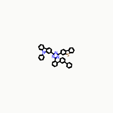 c1ccc(-c2cccc(-c3ccccc3-c3nc(-c4ccc5c(c4)sc4ccccc45)nc(-c4ccc5c6ccccc6n(-c6ccccc6)c5c4)n3)c2)cc1